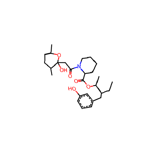 CCC(Cc1cccc(O)c1)C(C)OC(=O)C1CCCCN1C(=O)CC1(O)OC(C)CCC1C